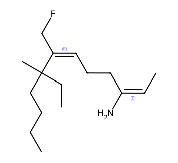 C/C=C(/N)CC/C=C(/CF)C(C)(CC)CCCC